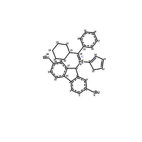 CC(C)(C)c1ccc2c(c1)[CH](/[Hf]([C]1=CC=CC1)=[C](/c1ccccc1)C1CCCCC1)c1cc(C(C)(C)C)ccc1-2